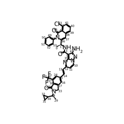 C[C@H](NC(=O)c1c(N)nn2ccc(/C=C/c3cc4c(c(C(F)(F)F)c3)C(=O)N([C@@H](C)C3CC3)C4)nc12)c1cc2cccc(Cl)c2c(=O)n1-c1ccccc1